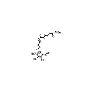 CC(CCCCC(=O)OC(C)(C)C)OCCCC[C@@H]1OC(CO)[C@H](O)C(O)[C@@H]1O